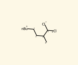 CCCCCCC(C)C(Cl)Cl